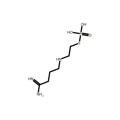 N=C(N)CCCNCCSP(=O)(O)O